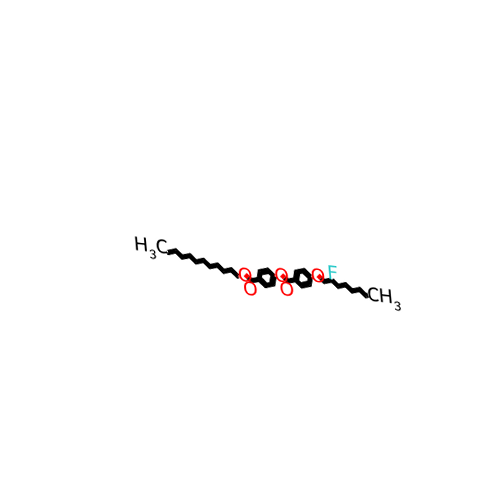 CCCCCCCCCCCCOC(=O)c1ccc(OC(=O)c2ccc(OCC(F)CCCCCC)cc2)cc1